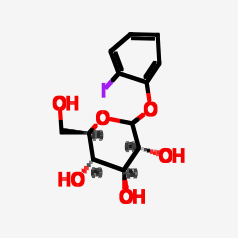 OC[C@H]1OC(Oc2ccccc2I)[C@H](O)[C@@H](O)[C@@H]1O